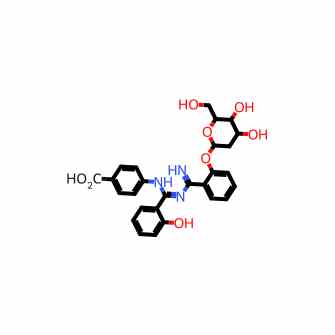 N=C(/N=C(\Nc1ccc(C(=O)O)cc1)c1ccccc1O)c1ccccc1OC1CC(O)C(O)C(CO)O1